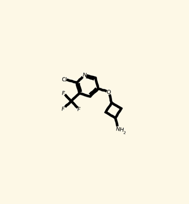 NC1CC(Oc2cnc(Cl)c(C(F)(F)F)c2)C1